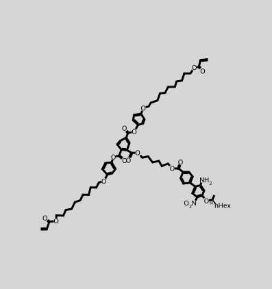 C=CC(=O)OCCCCCCCCCCCOc1ccc(OC(=O)c2ccc(C(=O)Oc3ccc(OCCCCCCCCCCCOC(=O)C=C)cc3)c(C(=O)OCCCCCCOC(=O)c3ccc(-c4cc([N+](=O)[O-])c(O[C@@H](C)CCCCCC)cc4N)cc3)c2)cc1